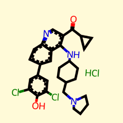 Cl.O=C(c1cnc2ccc(-c3cc(Cl)c(O)c(Cl)c3)cc2c1NC1CCC(CN2CCCC2)CC1)C1CC1